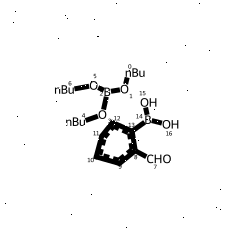 CCCCOB(OCCCC)OCCCC.O=Cc1ccccc1B(O)O